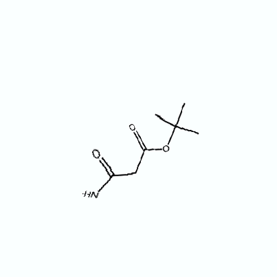 CC(C)(C)OC(=O)CC([NH])=O